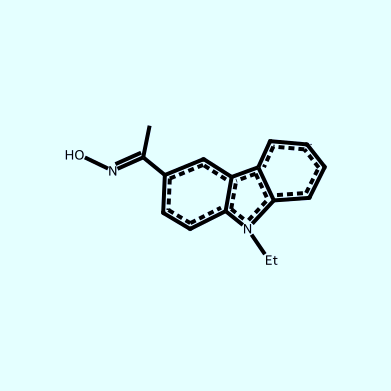 CCn1c2cc[c]cc2c2cc(C(C)=NO)ccc21